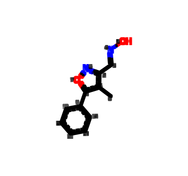 Cc1c(C=NO)noc1-c1ccccc1